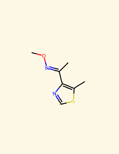 CON=C(C)c1n[c]sc1C